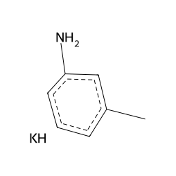 Cc1cccc(N)c1.[KH]